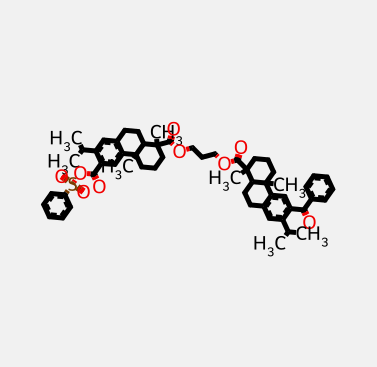 CC(C)c1cc2c(cc1C(=O)OS(=O)(=O)c1ccccc1)C1(C)CCCC(C)(C(=O)OCCCOC(=O)C3(C)CCCC4(C)c5cc(C(=O)c6ccccc6)c(C(C)C)cc5CCC34)C1CC2